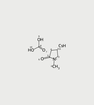 CN1CCCC1=O.O=C(O)O.[CsH]